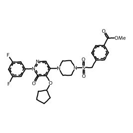 COC(=O)c1ccc(CS(=O)(=O)N2CCN(c3cnn(-c4cc(F)cc(F)c4)c(=O)c3OC3CCCC3)CC2)cc1